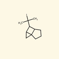 CC(C)(I)C1C2CCCC23CC13